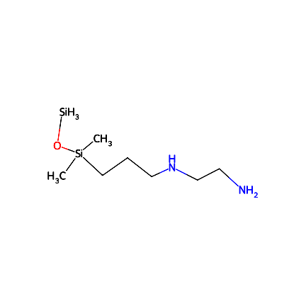 C[Si](C)(CCCNCCN)O[SiH3]